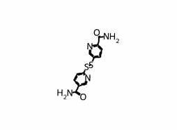 NC(=O)c1ccc(SSc2ccc(C(N)=O)nc2)nc1